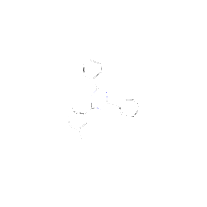 Cc1ccc(C)c(-c2nc(-c3ccccc3)nc(-c3ccccc3)n2)c1